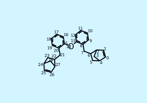 C1=CC2CC1CC2Cc1ccccc1Oc1ccccc1CC1CC2C=CC1C2